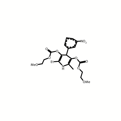 CCC1=C(OC(=O)OCCOC)C(c2cccc([N+](=O)[O-])c2)C(OC(=O)OCCOC)=C(C)N1